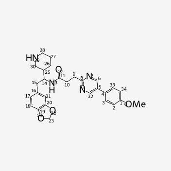 COc1ccc(-c2cnc(CCC(=O)NC(Cc3ccc4c(c3)OCO4)C3CCCNC3)nc2)cc1